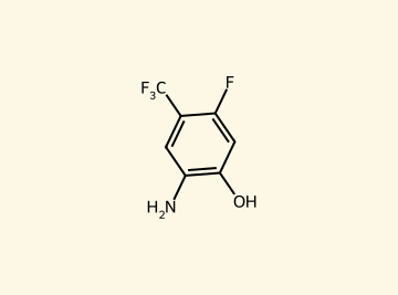 Nc1cc(C(F)(F)F)c(F)cc1O